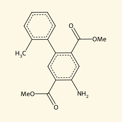 COC(=O)c1cc(-c2ccccc2C)c(C(=O)OC)cc1N